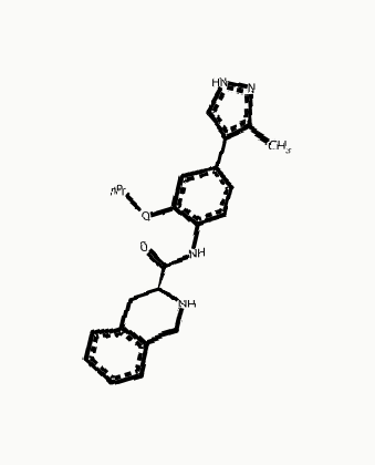 CCCOc1cc(-c2c[nH]nc2C)ccc1NC(=O)[C@@H]1Cc2ccccc2CN1